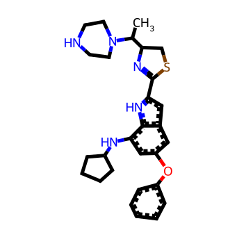 CC(C1CSC(c2cc3cc(Oc4ccccc4)cc(NC4CCCC4)c3[nH]2)=N1)N1CCNCC1